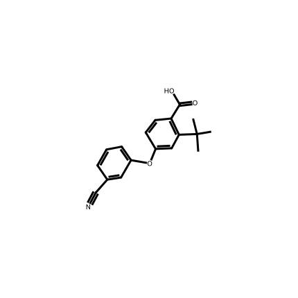 CC(C)(C)c1cc(Oc2cccc(C#N)c2)ccc1C(=O)O